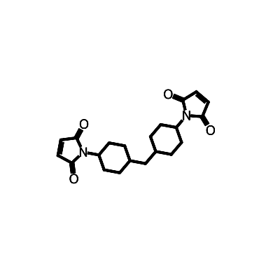 O=C1C=CC(=O)N1C1CCC(CC2CCC(N3C(=O)C=CC3=O)CC2)CC1